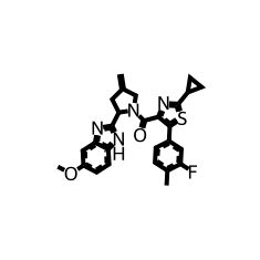 C=C1CC(c2nc3cc(OC)ccc3[nH]2)N(C(=O)c2nc(C3CC3)sc2-c2ccc(C)c(F)c2)C1